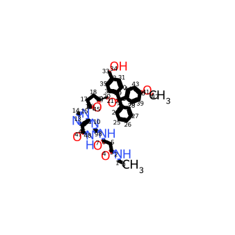 CCNC(=O)CC(=O)Nc1nc2c(ncn2[C@H]2CC[C@@H](COC(c3ccccc3)(c3ccc(CO)cc3)c3ccc(OC)cc3)O2)c(=O)[nH]1